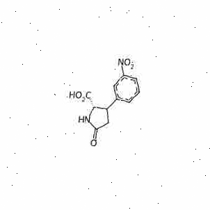 O=C1CC(c2cccc([N+](=O)[O-])c2)[C@@H](C(=O)O)N1